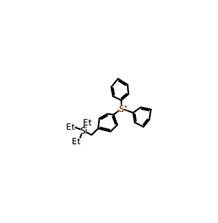 CC[Si](CC)(CC)Cc1ccc([S+](c2ccccc2)c2ccccc2)cc1